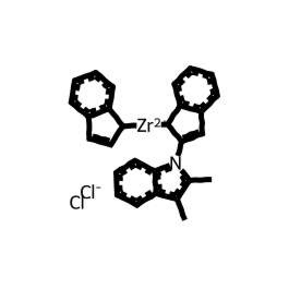 Cc1c(C)n(C2=Cc3ccccc3[CH]2[Zr+2][CH]2C=Cc3ccccc32)c2ccccc12.[Cl-].[Cl-]